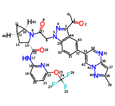 CC(=O)c1nn(CC(=O)N2[C@@H]3C[C@@H]3C[C@H]2C(=O)Nc2cccc(OC(F)(F)F)n2)c2ccc(-c3cnc4cc(C)nn4c3)cc12